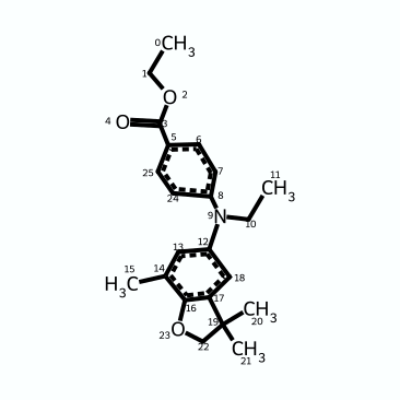 CCOC(=O)c1ccc(N(CC)c2cc(C)c3c(c2)C(C)(C)CO3)cc1